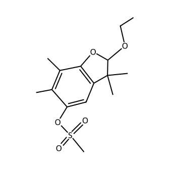 CCOC1Oc2c(cc(OS(C)(=O)=O)c(C)c2C)C1(C)C